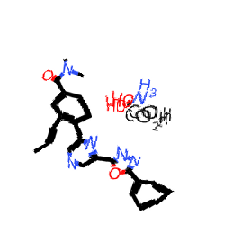 CC#Cc1cc(C(=O)N(C)C)ccc1-c1cncc(-c2nnc(-c3ccccc3)o2)n1.N.O=C(O)O.O=C(O)O